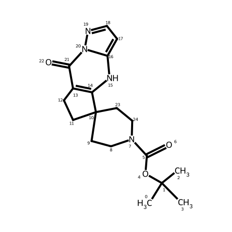 CC(C)(C)OC(=O)N1CCC2(CCc3c2[nH]c2ccnn2c3=O)CC1